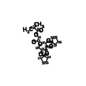 C=C(C)C(=O)OCC(=O)OCC1OC2(CCCC2)OC1C1COC2(CCCC2)O1